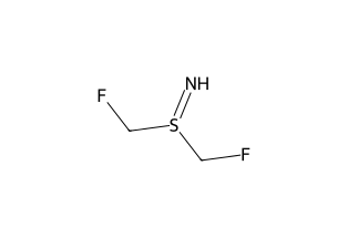 N=S(CF)CF